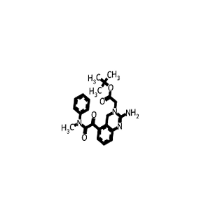 CN(C(=O)C(=O)c1cccc2c1CN(CC(=O)OC(C)(C)C)C(N)=N2)c1ccccc1